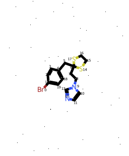 Brc1ccc(CC2(CCn3ccnc3)SCCS2)cc1